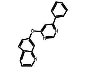 c1ccc(-c2cc(Oc3ccc4cccnc4c3)ncn2)cc1